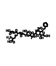 CC(=O)NC1[C@H](OCc2ccccc2)OC(CO)C(O)[C@@H]1OC(C)C(=O)N[C@@H](C)C(=O)N[C@H](CCC(=O)N[C@H](CSC[C@H](N)C(=O)O)C(=O)NCC(=O)O)C(=O)O